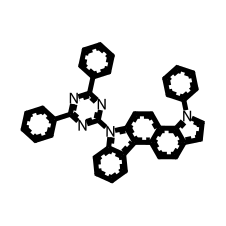 c1ccc(-c2nc(-c3ccccc3)nc(-n3c4ccccc4c4c5ccc6ccn(-c7ccccc7)c6c5ccc43)n2)cc1